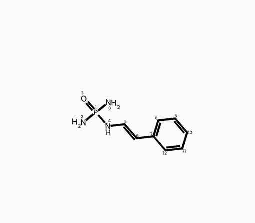 NP(N)(=O)NC=Cc1ccccc1